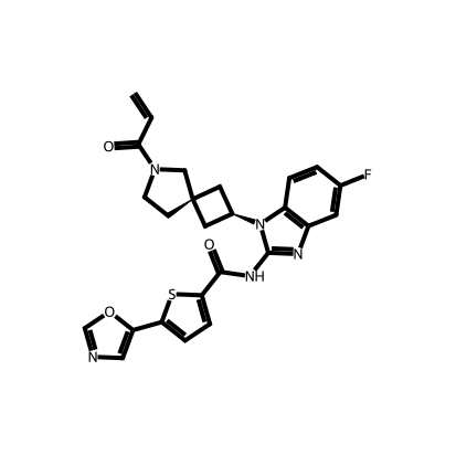 C=CC(=O)N1CC[C@]2(C1)C[C@H](n1c(NC(=O)c3ccc(-c4cnco4)s3)nc3cc(F)ccc31)C2